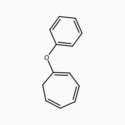 C1=CC=C(Oc2ccccc2)CC=C1